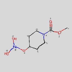 COC(=O)N1CCC(ON(O)O)CC1